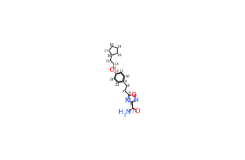 NC(=O)c1noc([CH]Cc2ccc(OCCC3CCCC3)cc2)n1